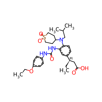 CCOc1ccc(NC(=O)Nc2cc([C@H](CC)CC(=O)O)ccc2N(CC(C)C)C2CCS(=O)(=O)CC2)cc1